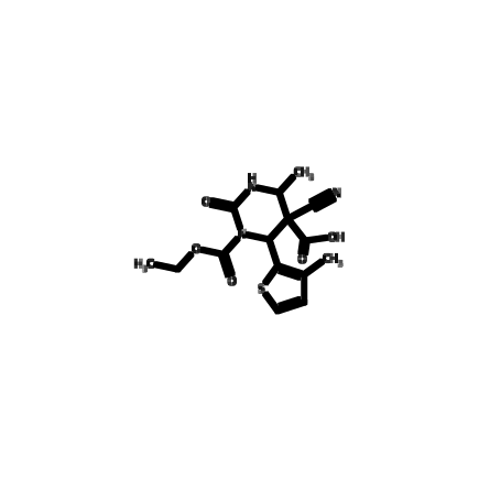 CCOC(=O)N1C(=O)NC(C)C(C#N)(C(=O)O)C1c1sccc1C